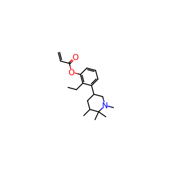 C=CC(=O)Oc1cccc(C2CC(C)C(C)(C)N(C)C2)c1CC